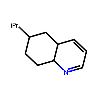 CC(C)C1CCC2N=CC=CC2C1